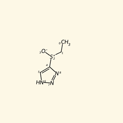 CC[S+]([O-])c1c[nH]nn1